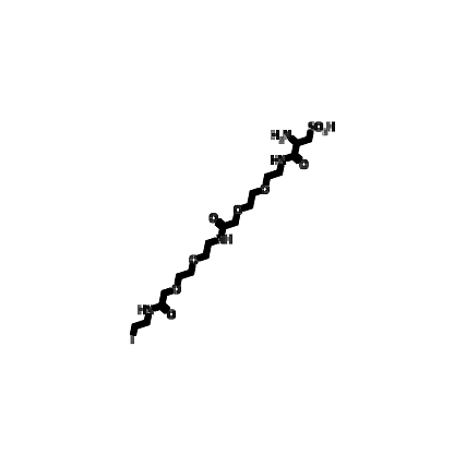 NC(CS(=O)(=O)O)C(=O)NCCOCCOCC(=O)NCCOCCOCC(=O)NCCI